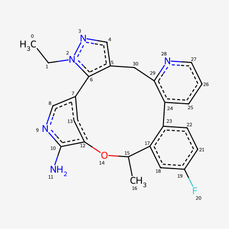 CCn1ncc2c1-c1cnc(N)c(c1)OC(C)c1cc(F)ccc1-c1cccnc1C2